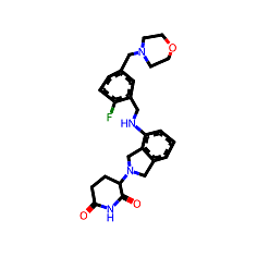 O=C1CCC(N2Cc3cccc(NCc4cc(CN5CCOCC5)ccc4F)c3C2)C(=O)N1